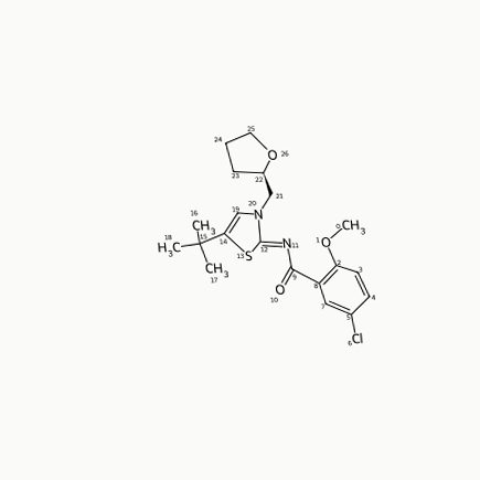 COc1ccc(Cl)cc1C(=O)/N=c1\sc(C(C)(C)C)cn1C[C@H]1CCCO1